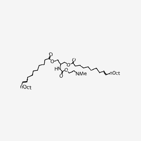 CCCCCCCCC=CCCCCCCCC(=O)OCC(COC(=O)CCCCCCCC=CCCCCCCCC)NC(=O)OCCNC